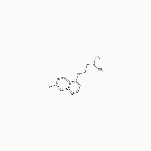 CN(C)CCNc1ccnc2cc(Cl)ccc12